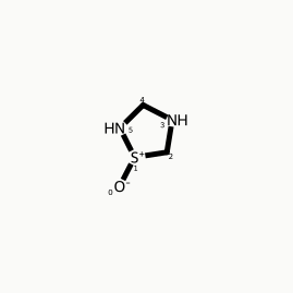 [O-][S+]1CNCN1